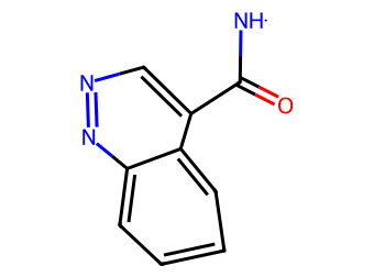 [NH]C(=O)c1cnnc2ccccc12